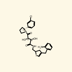 Nc1ccccc1CC1=CSC(CNC(=O)[C@H](O)[C@@H](O)C(=O)N2CCC[C@@H]2c2cccc(Cl)c2)C1